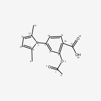 CC(=O)Oc1cc(-n2c(C)ccc2C)ccc1C(=O)O